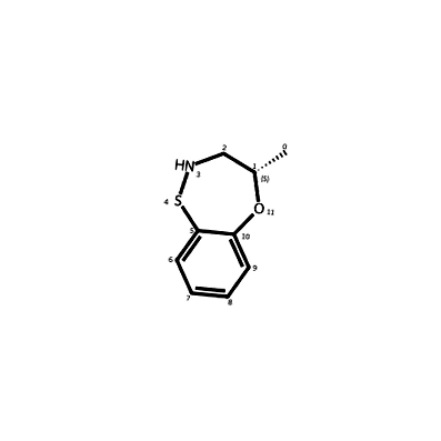 C[C@H]1CNSc2ccccc2O1